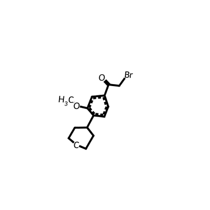 COc1cc(C(=O)CBr)ccc1C1CCCCC1